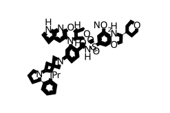 CC(C)c1ccccc1[C@@H]1CCCN1C1CC2(C1)CN(c1ccc(C(=O)NS(=O)(=O)c3cc4c(c([N+](=O)[O-])c3)N[C@H](C3CCOCC3)CO4)c(N3c4cc5cc[nH]c5nc4O[C@@H]4COC[C@H]43)c1)C2